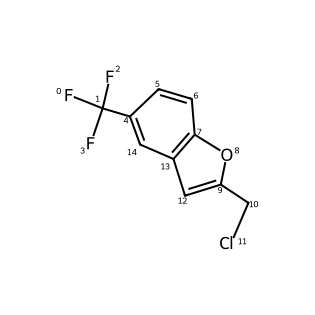 FC(F)(F)c1ccc2oc(CCl)cc2c1